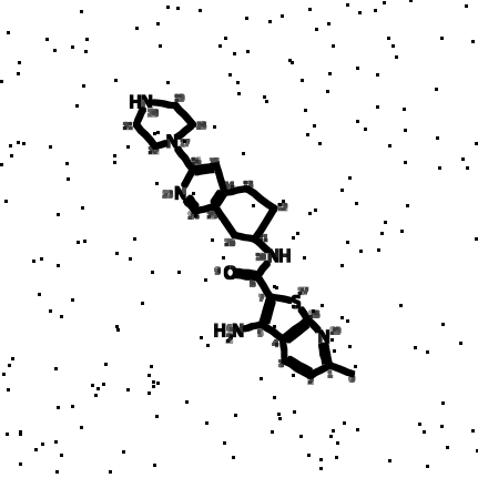 Cc1ccc2c(N)c(C(=O)NC3CCc4cc(N5CCNCC5)ncc4C3)sc2n1